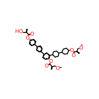 C=C(CO)C(=O)Oc1ccc(-c2ccc(-c3ccc(OC(=O)C(=C)COC)c(C4CCC(C5CCC(OC(=O)C(=C)COC)CC5)CC4)c3)cc2)cc1